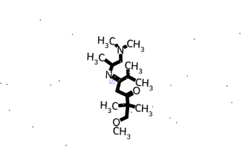 COCC(C)(C)C(=O)C/C(=N/C(C)CN(C)C)C(C)C